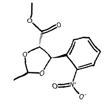 COC(=O)[C@H]1OC(C)O[C@@H]1c1ccccc1[N+](=O)[O-]